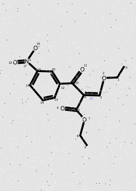 CCO/C=C(/C(=O)OCC)C(=O)c1cccc([N+](=O)[O-])c1